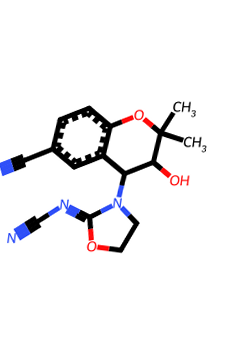 CC1(C)Oc2ccc(C#N)cc2C(N2CCO/C2=N\C#N)C1O